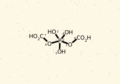 O=C(O)OP(O)(O)(O)OC(=O)O